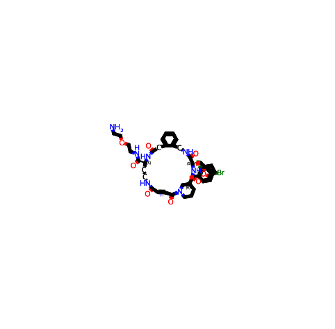 NCCOCCNC(=O)[C@@H]1CCNC(=O)/C=C/C(=O)N2CCC[C@@](Cc3ccc(Br)cc3F)(C2)C(=O)N[C@@H](Cc2ccco2)C(=O)NCc2ccccc2CC(=O)N1